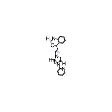 Nc1ccccc1C(=O)/C=C/N1C[C@H]2C[C@@H]1CN2c1ccccn1